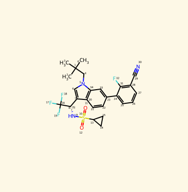 CC(C)(C)Cn1cc([C@H](NS(=O)(=O)C2CC2)C(F)(F)F)c2ccc(-c3cccc(C#N)c3F)cc21